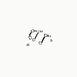 OCl.OCl.OCl.[Al].[Zr]